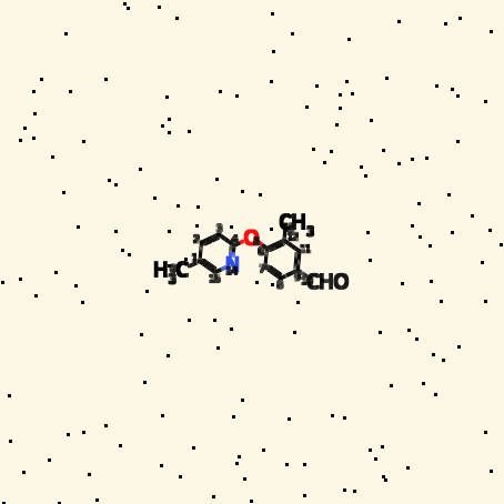 Cc1ccc(Oc2ccc(C=O)cc2C)nc1